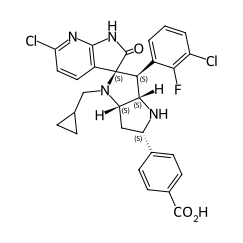 O=C(O)c1ccc([C@@H]2C[C@H]3[C@@H](N2)[C@H](c2cccc(Cl)c2F)[C@]2(C(=O)Nc4nc(Cl)ccc42)N3CC2CC2)cc1